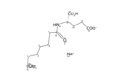 CCCCCCCCCCCCCCCC(=O)N[C@@H](CCC(=O)[O-])C(=O)O.[Na+]